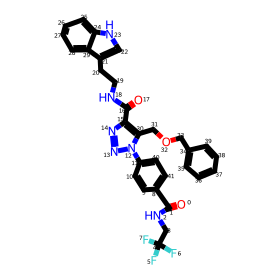 O=C(NCC(F)(F)F)c1ccc(-n2nnc(C(=O)NCCc3c[nH]c4ccccc34)c2COCc2ccccc2)cc1